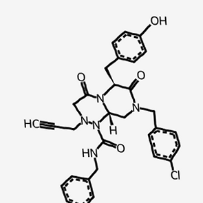 C#CCN1CC(=O)N2[C@@H](Cc3ccc(O)cc3)C(=O)N(Cc3ccc(Cl)cc3)C[C@@H]2N1C(=O)NCc1ccccc1